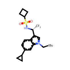 CC(C)(C)Cn1cc([C@H](NS(=O)(=O)C2CCC2)C(F)(F)F)c2ccc(C3CC3)cc21